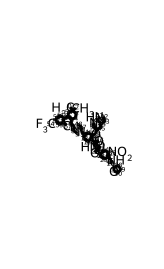 CC1(C)CCC(CN2CCN(c3ccc(C(=O)NS(=O)(=O)c4ccc(NC[C@@H]5CCCO5)c([N+](=O)[O-])c4)c(Oc4cnc5[nH]ccc5c4)c3)CC2)=C(c2ccc(C(F)(F)F)cc2Cl)C1